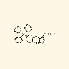 CCOC(=O)Cn1cncc1C=C1CN(C(c2ccccc2)(c2ccccc2)c2ccccc2)CCC1O